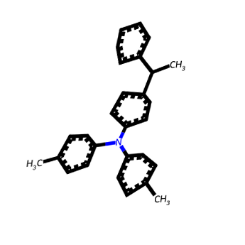 Cc1ccc(N(c2ccc(C)cc2)c2ccc(C(C)c3ccccc3)cc2)cc1